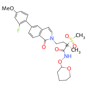 COc1ccc(-c2ccc3c(=O)n(CC[C@](C)(C(=O)NOC4CCCCO4)S(C)(=O)=O)ccc3c2)c(F)c1